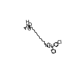 O=S(=O)(CCCCCCCCCCCCN1CCN(C(c2ccccc2)c2ccc(Cl)cc2)CC1)NC1CC1